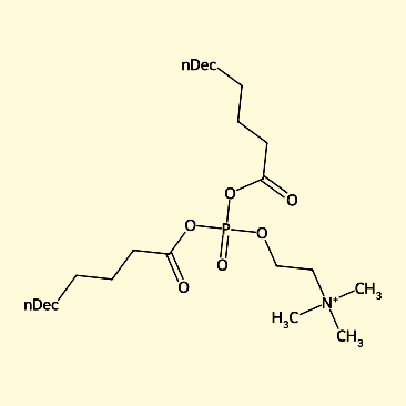 CCCCCCCCCCCCCC(=O)OP(=O)(OCC[N+](C)(C)C)OC(=O)CCCCCCCCCCCCC